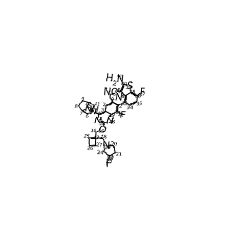 N#Cc1cc2c(N3CC4CCC(C3)N4)nc(OCC3(CN4CC[C@@H](F)C4)CCC3)nc2c(F)c1-c1ccc(F)c2sc(N)c(C#N)c12